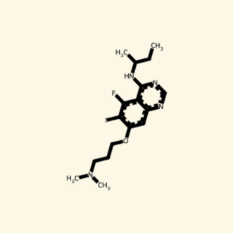 CCC(C)Nc1ncnc2cc(OCCCN(C)C)c(I)c(F)c12